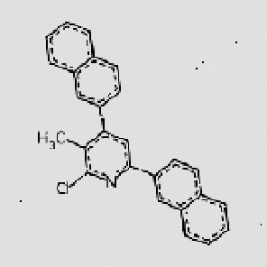 Cc1c(-c2ccc3ccccc3c2)cc(-c2ccc3ccccc3c2)nc1Cl